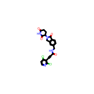 O=C(C#Cc1c(Cl)ccnc1Cl)NCc1ccc2c(c1)CN(C1CCC(=O)NC1=O)C2=O